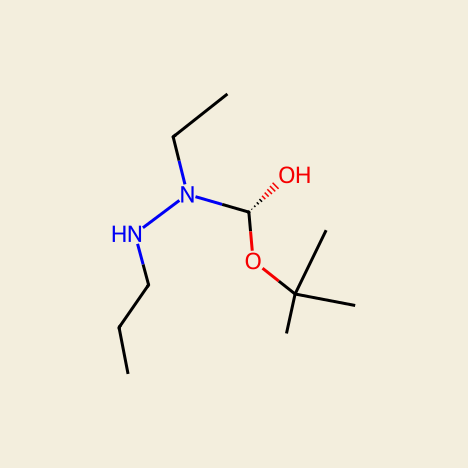 CCCNN(CC)[C@H](O)OC(C)(C)C